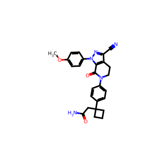 COc1ccc(-n2nc(C#N)c3c2C(=O)N(c2ccc(C4(CC(N)=O)CCC4)cc2)CC3)cc1